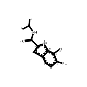 CC(C)NC(=O)c1cc2ccc(F)c(Cl)c2[nH]1